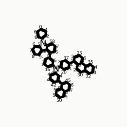 c1ccc(-n2c3ccccc3c3c(-c4cccc(N(c5ccc(-c6cccc7c6ccc6ccccc67)cc5)c5cccc(-c6cccc7ccccc67)c5)c4)cccc32)cc1